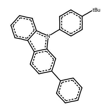 CC(C)(C)c1ccc(-n2c3ccccc3c3ccc(-c4ccccc4)cc32)cc1